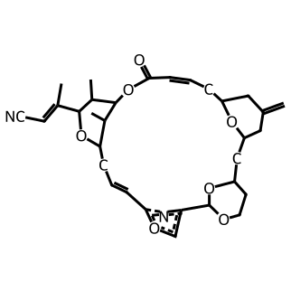 C=C1CC2C/C=C\C(=O)OC3C(C)C(C/C=C/c4nc(co4)C4OCCC(CC(C1)O2)O4)OC(/C(C)=C/C#N)C3C